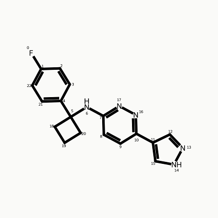 Fc1ccc(C2(Nc3ccc(-c4cn[nH]c4)nn3)CCC2)cc1